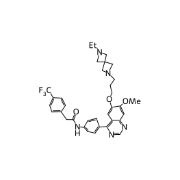 CCN1CC2(C1)CN(CCCOc1cc3c(-c4ccc(NC(=O)Cc5ccc(C(F)(F)F)cc5)cc4)ncnc3cc1OC)C2